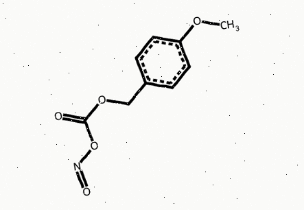 COc1ccc(COC(=O)ON=O)cc1